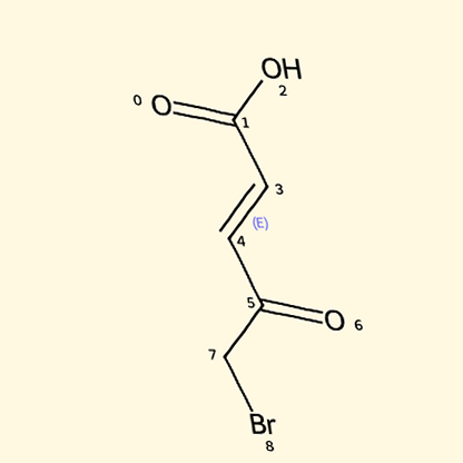 O=C(O)/C=C/C(=O)CBr